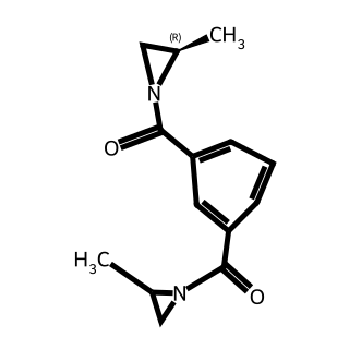 CC1CN1C(=O)c1cccc(C(=O)N2C[C@H]2C)c1